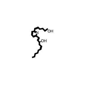 CCCCC/C=C\C[C@H](O)/C=C/c1cccc(/C=C\CCCCO)n1